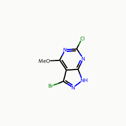 COc1nc(Cl)nc2[nH]nc(Br)c12